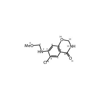 COCNc1cc2c(cc1Cl)C(=O)NCO2